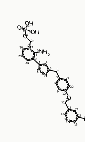 Nc1c(-c2cc(Cc3ccc(OCc4cncc(F)c4)cc3)no2)ccc[n+]1COP(=O)(O)O